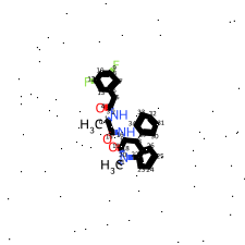 C[C@H](NC(=O)Cc1cc(F)cc(F)c1)C(=O)N[C@H]1C(=O)N(C)c2ccccc2[C@H]1c1ccccc1